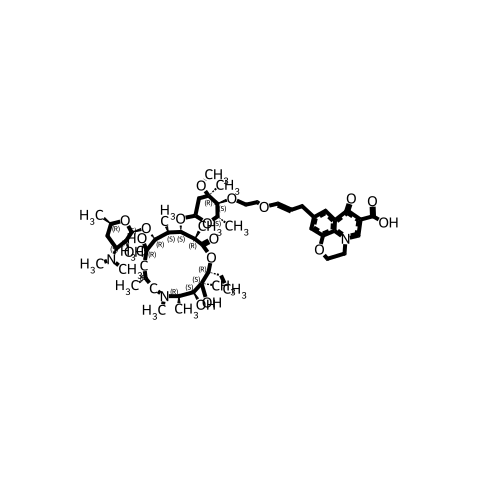 CC[C@H]1OC(=O)[C@H](C)[C@@H](OC2C[C@@](C)(OC)[C@@H](OCCOC=CCc3cc4c5c(c3)c(=O)c(C(=O)O)cn5CCO4)[C@H](C)O2)[C@H](C)[C@@H](O[C@@H]2O[C@H](C)C[C@H](N(C)C)[C@H]2O)[C@](C)(O)C[C@@H](C)CN(C)[C@H](C)[C@H](O)[C@]1(C)O